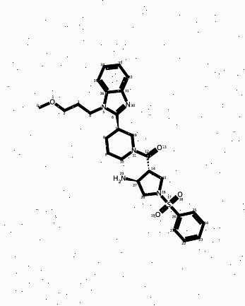 COCCCn1c([C@@H]2CCCN(C(=O)[C@@H]3CN(S(=O)(=O)c4ccccc4)C[C@H]3N)C2)nc2ccccc21